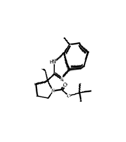 Cc1cccc2nc(C3(C)CCCN3C(=O)OC(C)(C)C)[nH]c12